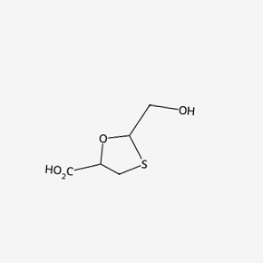 O=C(O)C1CSC(CO)O1